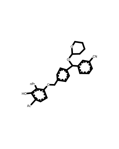 CCCc1c(OCc2ccc(C(OC3CCCCO3)c3cccc(C#N)c3)cc2)ccc(C(C)=O)c1O